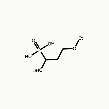 CCOCCC(C=O)P(=O)(O)O